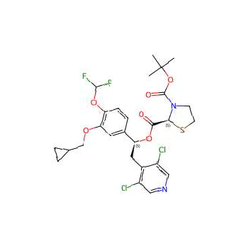 CC(C)(C)OC(=O)N1CCS[C@H]1C(=O)O[C@@H](Cc1c(Cl)cncc1Cl)c1ccc(OC(F)F)c(OCC2CC2)c1